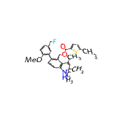 COc1ccc(CF)cc1-c1ccc2c(c1COC(=O)c1ccc(C)s1)C(C)=CC(C)(C)N2